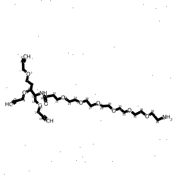 C#CCOCCC(OCC#C)C(COCC#C)NC(=O)CCOCCOCCOCCOCCOCCOCCN